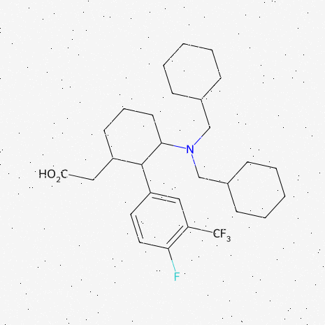 O=C(O)CC1CCCC(N(CC2CCCCC2)CC2CCCCC2)C1c1ccc(F)c(C(F)(F)F)c1